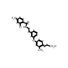 Cc1cc(Oc2cccc(CCNC(=O)c3ccc(C(F)(F)F)cc3Cl)c2)ccc1CCC(=O)O